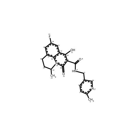 Cc1ccc(CNC(=O)c2c(O)c3cc(F)cc4c3n(c2=O)C(C)CC4)cn1